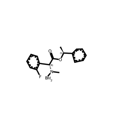 BN(C)[C@@H](C(=O)O[C@@H](C)c1ccccc1)c1ccccc1F